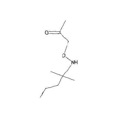 CCCC(C)(C)NOCC(C)=O